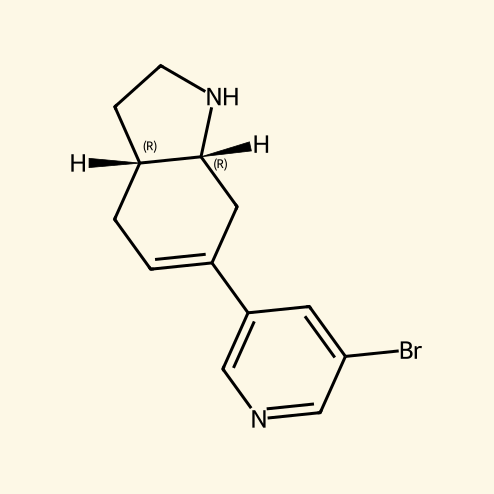 Brc1cncc(C2=CC[C@@H]3CCN[C@@H]3C2)c1